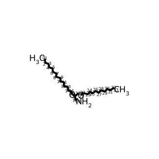 CCCCCCCCCCCCCCCCOC(CN)COCCCCCCCCCCCC